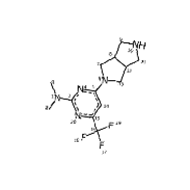 CN(C)c1nc(N2CC3CNCC3C2)cc(C(F)(F)F)n1